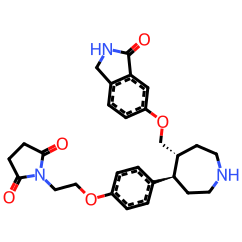 O=C1NCc2ccc(OC[C@@H]3CCNCC[C@H]3c3ccc(OCCN4C(=O)CCC4=O)cc3)cc21